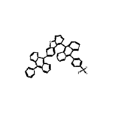 FC(F)(F)c1ccc(-c2c3ccccc3c(-c3cccc4sc5cc(-c6c7ccccc7c(-c7ccccc7)c7ccccc67)ccc5c34)c3ccccc23)cc1